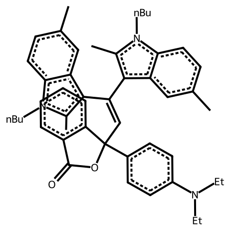 CCCCn1c(C)c(C(=CC2(c3ccc(N(CC)CC)cc3)OC(=O)c3ccccc32)c2c(C)n(CCCC)c3ccc(C)cc23)c2cc(C)ccc21